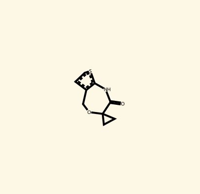 O=C1Nc2sccc2COC12CC2